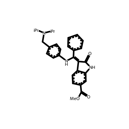 COC(=O)c1ccc2c(c1)NC(=O)C2=C(Nc1ccc(CN(C(C)C)C(C)C)cc1)c1ccccc1